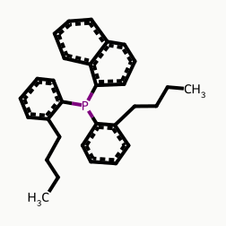 CCCCc1ccccc1P(c1ccccc1CCCC)c1cccc2ccccc12